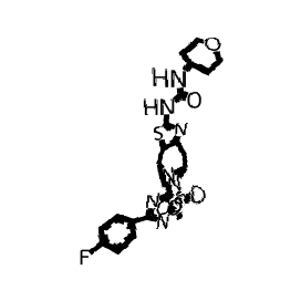 CS(=O)(=O)N1CC2c3sc(NC(=O)NC4CCOCC4)nc3CC1N2c1nc(-c2ccc(F)cc2)no1